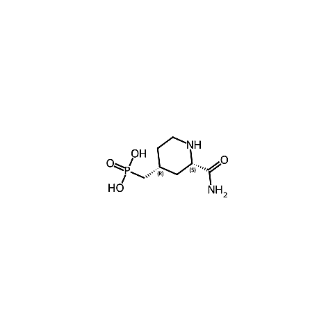 NC(=O)[C@@H]1C[C@H](CP(=O)(O)O)CCN1